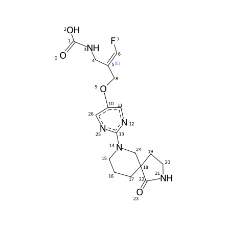 O=C(O)NC/C(=C\F)COc1cnc(N2CCCC3(CCNC3=O)C2)nc1